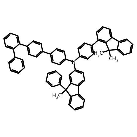 CC1(C)c2ccccc2-c2cccc(-c3ccc(N(c4ccc(-c5ccc(-c6ccccc6-c6ccccc6)cc5)cc4)c4ccc5c(c4)C(C)(c4ccccc4)c4ccccc4-5)cc3)c21